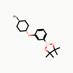 CC1(C)OB(c2cccc(O[C@H]3CC[C@H](C(C)(C)C)CC3)c2)OC1(C)C